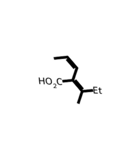 C/C=C\C(C(=O)O)=C(\C)CC